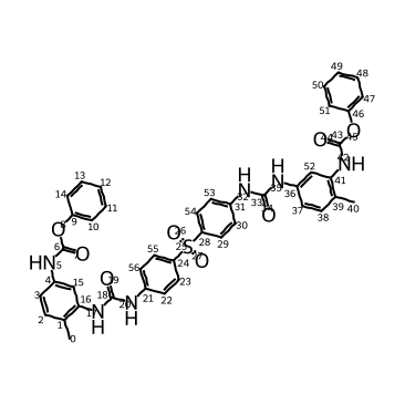 Cc1ccc(NC(=O)Oc2ccccc2)cc1NC(=O)Nc1ccc(S(=O)(=O)c2ccc(NC(=O)Nc3ccc(C)c(NC(=O)Oc4ccccc4)c3)cc2)cc1